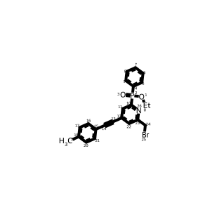 CCOP(=O)(c1ccccc1)c1cc(C#Cc2ccc(C)cc2)cc(CBr)n1